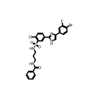 O=C(NCCCNS(=O)(=O)c1cc(-c2nc(-c3ccc(Br)c(F)c3)c[nH]2)ccc1Cl)c1ccccc1